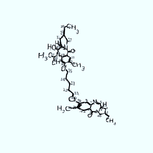 CC=C1C[C@H]2C=Nc3cc(OCCCCCOc4cc5c(cc4C)C(=O)N4CC(=CC)C[C@H]4C(O)N5C(C)C)c(C)cc3C(=O)N2C1